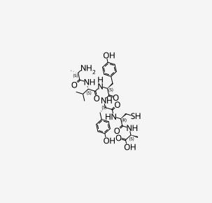 CC(C)[C@H](NC(=O)[C@H](C)N)C(=O)N[C@@H](Cc1ccc(O)cc1)C(=O)N[C@@H](Cc1ccc(O)cc1)C(=O)N[C@@H](CS)C(=O)N[C@@H](C)C(=O)O